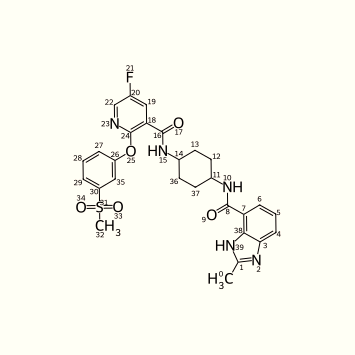 Cc1nc2cccc(C(=O)NC3CCC(NC(=O)c4cc(F)cnc4Oc4cccc(S(C)(=O)=O)c4)CC3)c2[nH]1